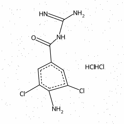 Cl.Cl.N=C(N)NC(=O)c1cc(Cl)c(N)c(Cl)c1